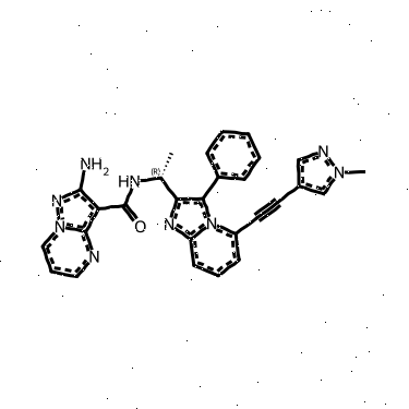 C[C@@H](NC(=O)c1c(N)nn2cccnc12)c1nc2cccc(C#Cc3cnn(C)c3)n2c1-c1ccccc1